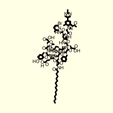 CCCCCCCCCCCCCCCC(=O)NCCCC[C@H](NC(=O)[C@H](CCC(=O)O)NC(=O)[C@H](Cc1ccc(O)cc1)NC(=O)[C@H](CCC(=O)O)NC(C)=O)C(=O)N[C@@H](CCC(=O)O)C(=O)N[C@@H](Cc1ccc(O)cc1)C(=O)N[C@@H](CCC(=O)O)C(=O)NC[C@@]12C[C@@H](C(=O)Nc3nc(Br)ccc3C)N(C(=O)Cn3nc(C(C)=O)c4cc(-c5cnc(C)nc5)cc(C)c43)[C@@H]1C2